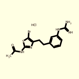 CC(=O)Nc1nc(CCc2cccc(NC(=N)N)c2)c(Br)s1.Cl